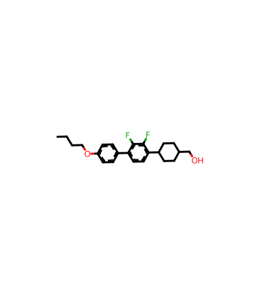 CCCCOc1ccc(-c2ccc(C3CCC(CO)CC3)c(F)c2F)cc1